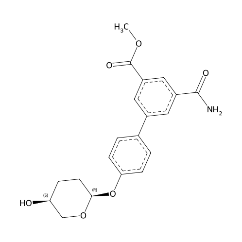 COC(=O)c1cc(C(N)=O)cc(-c2ccc(O[C@@H]3CC[C@H](O)CO3)cc2)c1